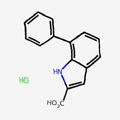 Cl.O=C(O)c1cc2cccc(-c3ccccc3)c2[nH]1